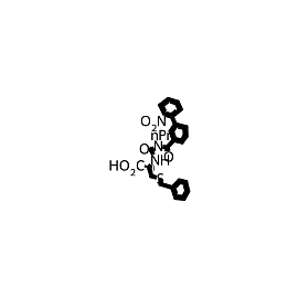 CCCN(C(=O)N[C@@H](CSCc1ccccc1)C(=O)O)C(=O)c1cccc(-c2ccccc2[N+](=O)[O-])c1